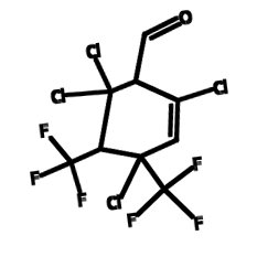 O=CC1C(Cl)=CC(Cl)(C(F)(F)F)C(C(F)(F)F)C1(Cl)Cl